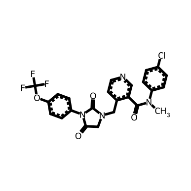 CN(C(=O)c1cnccc1CN1CC(=O)N(c2ccc(OC(F)(F)F)cc2)C1=O)c1ccc(Cl)cc1